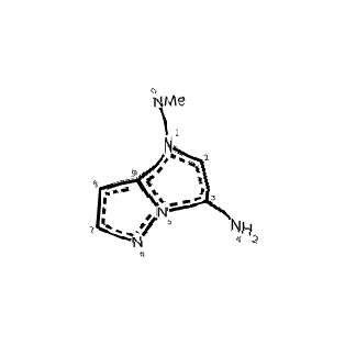 CNn1cc(N)n2nccc12